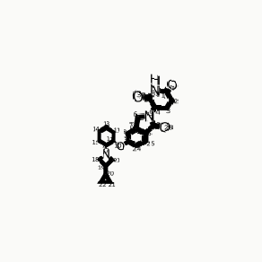 O=C1CCC(N2Cc3cc(O[C@H]4CCCC[C@H]4N4CC(C5CC5)C4)ccc3C2=O)C(=O)N1